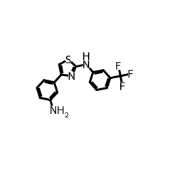 Nc1cccc(-c2csc(Nc3cccc(C(F)(F)F)c3)n2)c1